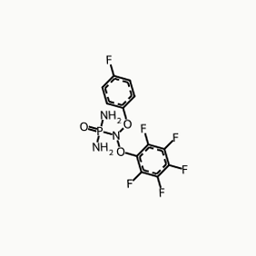 NP(N)(=O)N(Oc1ccc(F)cc1)Oc1c(F)c(F)c(F)c(F)c1F